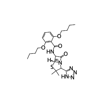 CCCCOc1cccc(OCCCC)c1C(=O)NC1C(=O)N2C(c3nnn[nH]3)C(C)(C)S[C@H]12